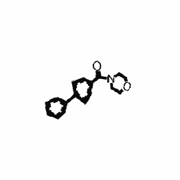 O=C(c1ccc(-c2ccccc2)cc1)N1CCOCC1